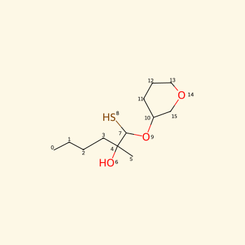 CCCCC(C)(O)C(S)OC1CCCOC1